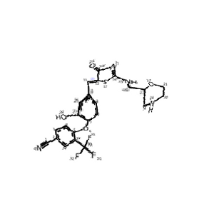 N#Cc1ccc(Oc2ccc(/C=C3\SC(NCC4CNCCO4)=NC3=O)cc2O)c(C(F)(F)F)c1